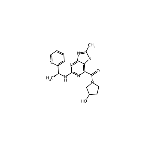 Cc1nc2nc(N[C@@H](C)c3ccccn3)nc(C(=O)N3CCC(O)C3)c2s1